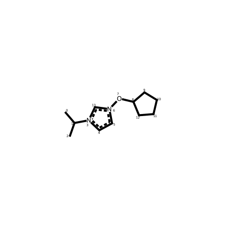 CC(C)[n+]1ccn(OC2CCCC2)c1